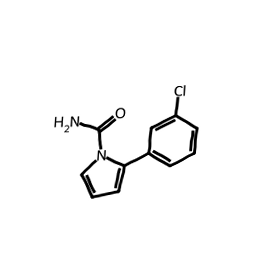 NC(=O)n1cccc1-c1cccc(Cl)c1